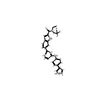 CCN(CC(F)(F)F)C(=O)c1cc2ccc(-c3nccc(Nc4ccc(-c5cn[nH]c5)cc4)n3)cc2[nH]1